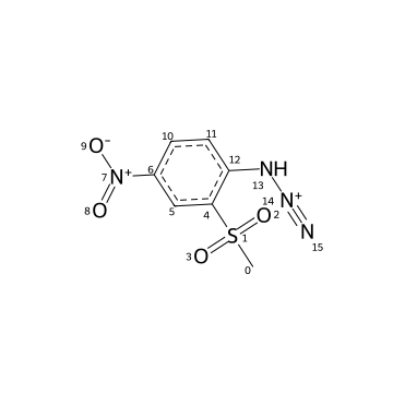 CS(=O)(=O)c1cc([N+](=O)[O-])ccc1N[N+]#N